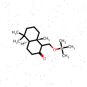 CC1(C)CCC[C@]2(C)C(CO[Si](C)(C)C)C(=O)CC[C@@H]12